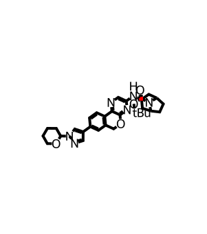 CC(C)(C)OC(=O)N1C2CCC1CC(Nc1cnc3c(n1)OCc1cc(-c4cnn(C5CCCCO5)c4)ccc1-3)C2